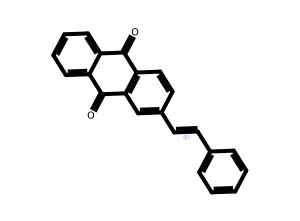 O=C1c2ccccc2C(=O)c2cc(/C=C/c3ccccc3)ccc21